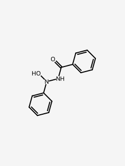 O=C(NN(O)c1ccccc1)c1ccccc1